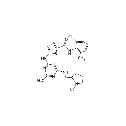 CCN1CCCC1CNc1cc(Nc2ncc(C(=O)Nc3c(C)cccc3Cl)s2)nc(C)n1